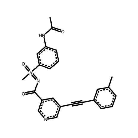 CC(=O)Nc1cccc(S(C)(=O)=NC(=O)c2cncc(C#Cc3cccc(C)c3)c2)c1